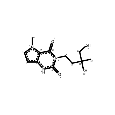 Cn1ccc2[nH]c(=O)n(CCC(C)(S)CS)c(=O)c21